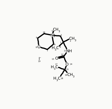 CC(C)(C[N+]1(C)CCOCC1)NC(=O)OC(C)(C)C.[I-]